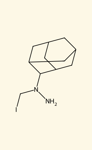 NN(CI)C1C2CC3CC(C2)CC1C3